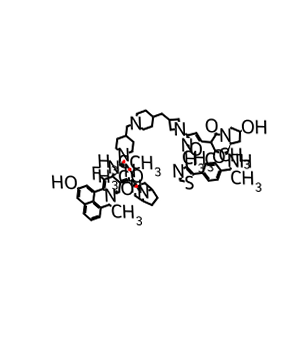 CCc1cccc2cc(O)cc(-c3ncc4c(N5CC6CCC(C5)N6C(=O)OC(C)(C)C)nc(N5CCC(CN6CCC(CC7CN(c8cc(C(C(=O)N9C[C@H](O)C[C@H]9C(=O)NC(C)c9ccc(-c%10scnc%10C)cc9)C(C)C)on8)C7)CC6)CC5)nc4c3F)c12